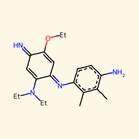 CCOC1=CC(=Nc2ccc(N)c(C)c2C)C(N(CC)CC)=CC1=N